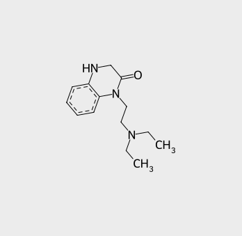 CCN(CC)CCN1C(=O)CNc2ccccc21